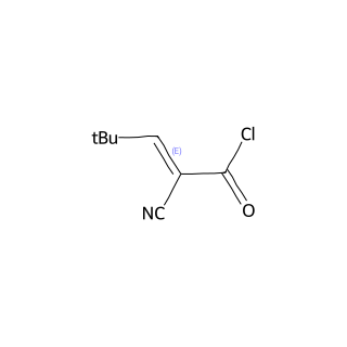 CC(C)(C)/C=C(\C#N)C(=O)Cl